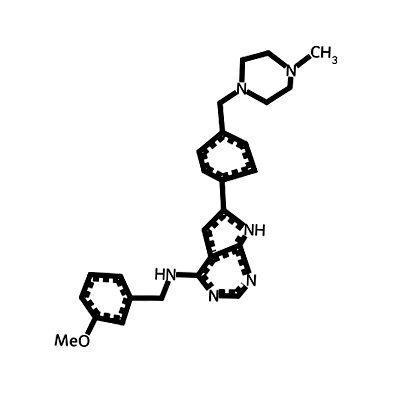 COc1cccc(CNc2ncnc3[nH]c(-c4ccc(CN5CCN(C)CC5)cc4)cc23)c1